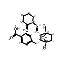 O=C(O)c1ccc(C[C@@H]2[C@H](C=NN3CCCCC3=O)[C@@H]3CC[C@H]2O3)cc1